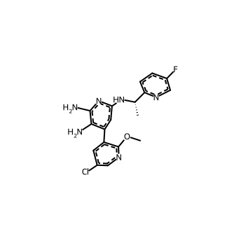 COc1ncc(Cl)cc1-c1cc(N[C@@H](C)c2ccc(F)cn2)nc(N)c1N